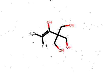 CC(C)=C(O)C(CO)(CO)CO